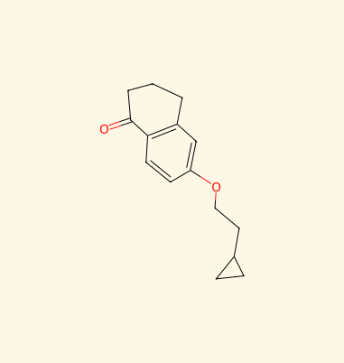 O=C1CCCc2cc(OCCC3CC3)ccc21